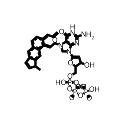 C=C/C=c1/ccc2cc3c(cc2/c1=C/C(=O)N1CN(C2=CC(O)C(COP(=O)(O)OP(=O)(O)OP(=O)(O)O)O2)c2nc(N)[nH]c(=O)c21)C(C)C=C3